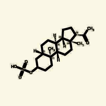 CC(=O)[C@H]1CC[C@H]2[C@@H]3CC[C@H]4CC(OS(=O)(=O)O)CC[C@]4(C)[C@H]3CC[C@]12C